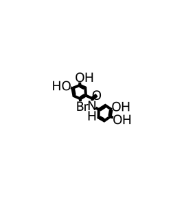 O=C(Nc1ccc(O)c(O)c1)c1cc(O)c(O)cc1Br